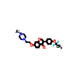 CC(=O)N1CCN(CCOc2ccc3c(=O)c(-c4ccc(OC(C)(F)F)cc4)coc3c2)CC1